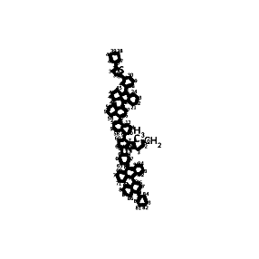 C=C/C=C\c1c(C)c2c(-c3cccc4c(-c5ccc(-c6c7ccccc7c(-c7cccc(-c8ccc(-c9ccccc9)s8)c7)c7ccccc67)c6ccccc56)cccc34)ccc3c4ccc(-c5c6ccccc6c(-c6ccc(-c7ccccc7)c7ccccc67)c6ccccc56)cc4n1c23